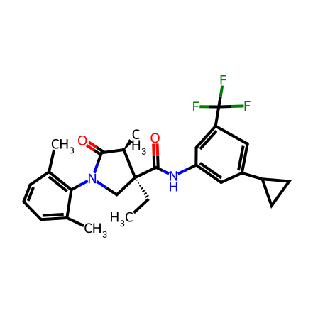 CC[C@]1(C(=O)Nc2cc(C3CC3)cc(C(F)(F)F)c2)CN(c2c(C)cccc2C)C(=O)[C@H]1C